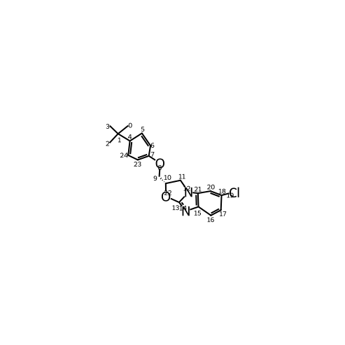 CC(C)(C)c1ccc(OC[C@@H]2Cn3c(nc4ccc(Cl)cc43)O2)cc1